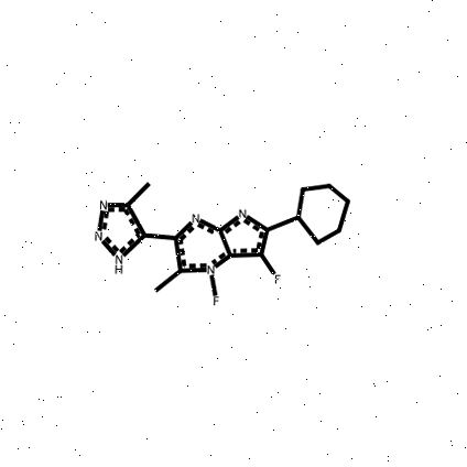 Cc1nn[nH]c1-c1nc2nc(C3CCCCC3)c(F)c-2n(F)c1C